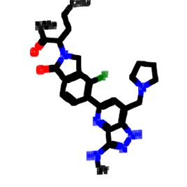 CNC(=O)C(CCC=O)N1Cc2c(ccc(-c3cc(CN4CCCC4)c4[nH]nc(NC(C)C)c4n3)c2F)C1=O